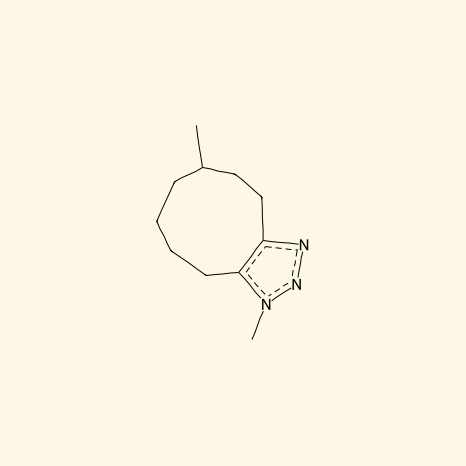 CC1CCCCc2c(nnn2C)CC1